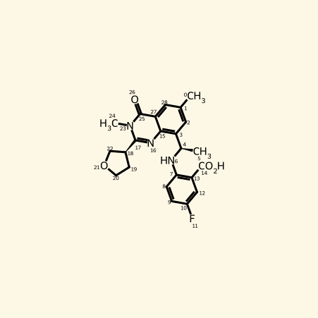 Cc1cc([C@@H](C)Nc2ccc(F)cc2C(=O)O)c2nc([C@H]3CCOC3)n(C)c(=O)c2c1